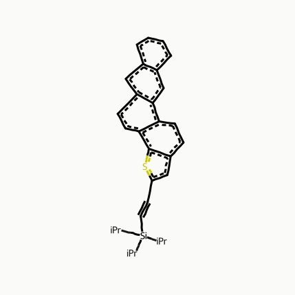 CC(C)[Si](C#Cc1cc2ccc3c4cc5ccccc5cc4ccc3c2s1)(C(C)C)C(C)C